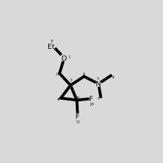 CCOCC1(CN(C)C)CC1(F)F